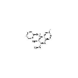 CCSc1nc2ccc(C)cc2c(Nc2ccccc2)c1C(C)=O